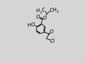 CC(C)OC(=O)c1cc(C(=O)CCl)ccc1O